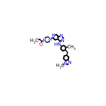 C=CC(=O)N1CCN(c2cc3c(Nc4ccc(Cc5ccc6c(c5)ncn6C)c(C)c4)ncnc3cn2)CC1